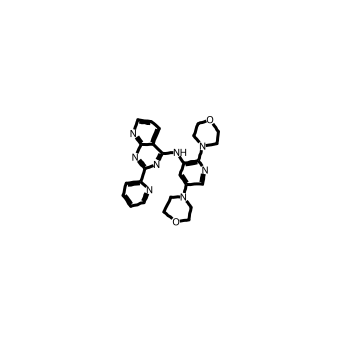 c1ccc(-c2nc(Nc3cc(N4CCOCC4)cnc3N3CCOCC3)c3cccnc3n2)nc1